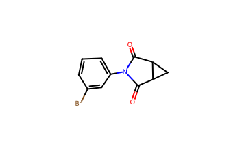 O=C1C2CC2C(=O)N1c1cccc(Br)c1